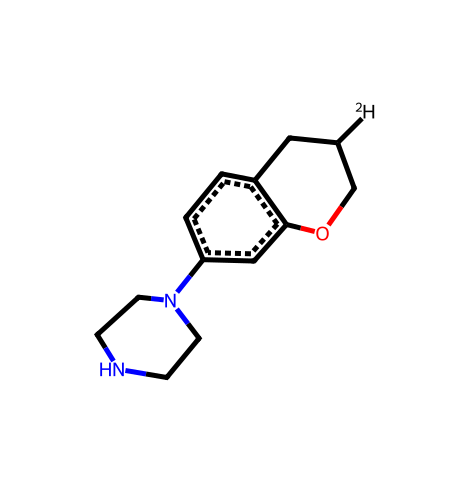 [2H]C1COc2cc(N3CCNCC3)ccc2C1